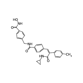 Cc1ccc(C(=Cc2ccc(C(=O)NCc3ccc(C(=O)NO)cc3)cc2)C(=O)NC2CC2)cc1